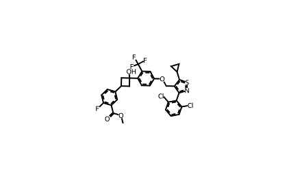 COC(=O)c1cc(C2CC(O)(c3ccc(OCc4c(-c5c(Cl)cccc5Cl)nsc4C4CC4)cc3C(F)(F)F)C2)ccc1F